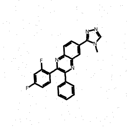 Cn1cnnc1-c1ccc2nc(-c3ccc(F)cc3F)c(-c3ccccc3)nc2c1